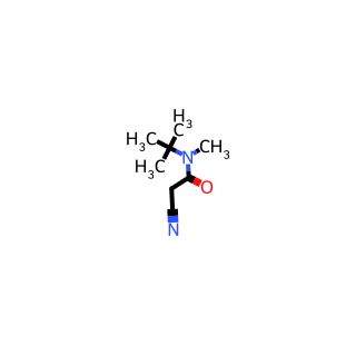 CN(C(=O)CC#N)C(C)(C)C